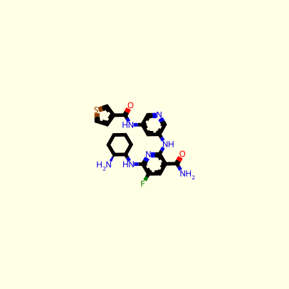 NC(=O)c1cc(F)c(NC2CCCC[C@@H]2N)nc1Nc1cncc(NC(=O)c2ccsc2)c1